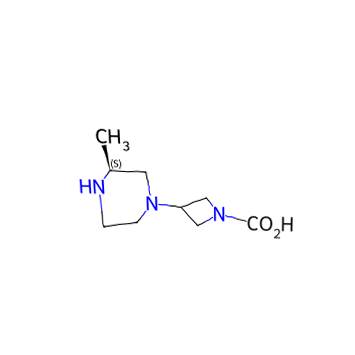 C[C@H]1CN(C2CN(C(=O)O)C2)CCN1